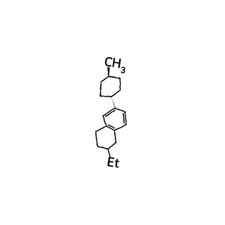 CCC1CCc2cc([C@H]3CC[C@H](C)CC3)ccc2C1